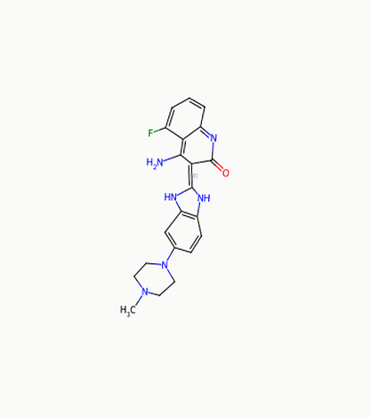 CN1CCN(c2ccc3c(c2)N/C(=C2/C(=O)N=c4cccc(F)c4=C2N)N3)CC1